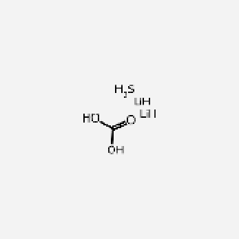 O=C(O)O.S.[LiH].[LiH]